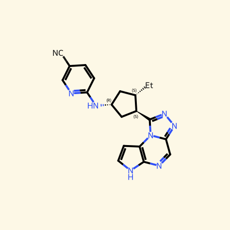 CC[C@H]1C[C@@H](Nc2ccc(C#N)cn2)C[C@@H]1c1nnc2cnc3[nH]ccc3n12